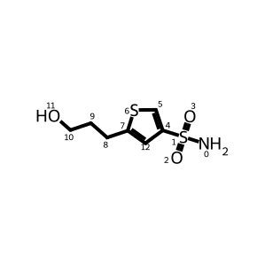 NS(=O)(=O)c1csc(CCCO)c1